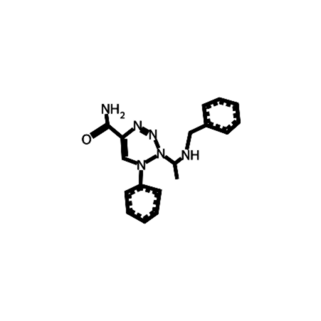 CC(NCc1ccccc1)N1N=NC(C(N)=O)=CN1c1ccccc1